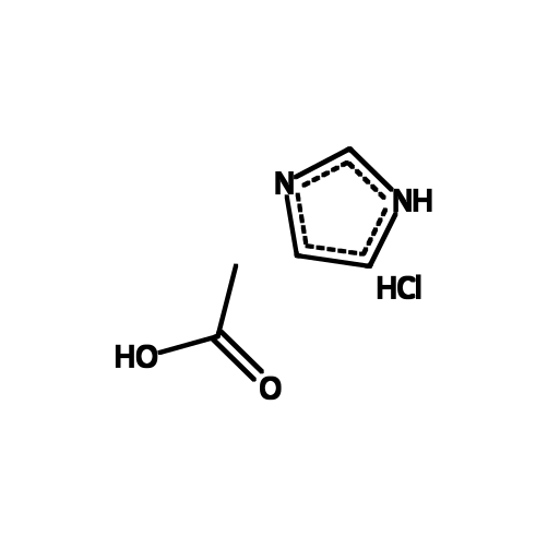 CC(=O)O.Cl.c1c[nH]cn1